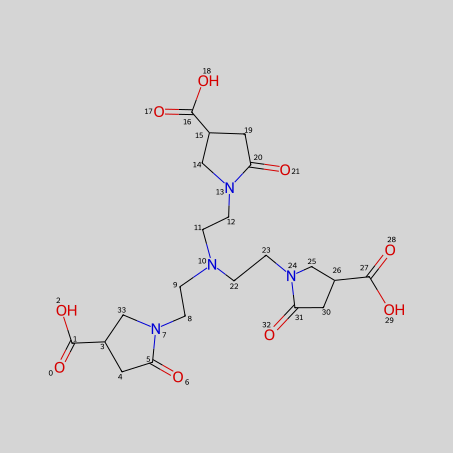 O=C(O)C1CC(=O)N(CCN(CCN2CC(C(=O)O)CC2=O)CCN2CC(C(=O)O)CC2=O)C1